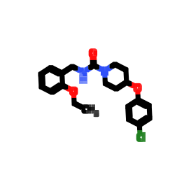 CCOc1ccccc1CNC(=O)N1CCC(Oc2ccc(Cl)cc2)CC1